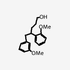 COc1cccc(CC(CCCO)c2ccccc2OC)c1